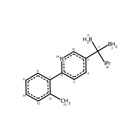 BC(B)(c1ccc(-c2ccccc2C)nc1)C(C)C